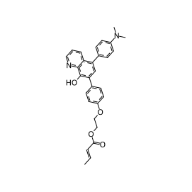 CC=CC(=O)OCCOc1ccc(-c2cc(-c3ccc(N(C)C)cc3)c3cccnc3c2O)cc1